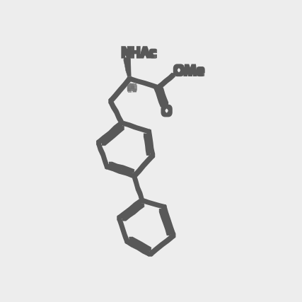 COC(=O)[C@@H](Cc1ccc(-c2ccccc2)cc1)NC(C)=O